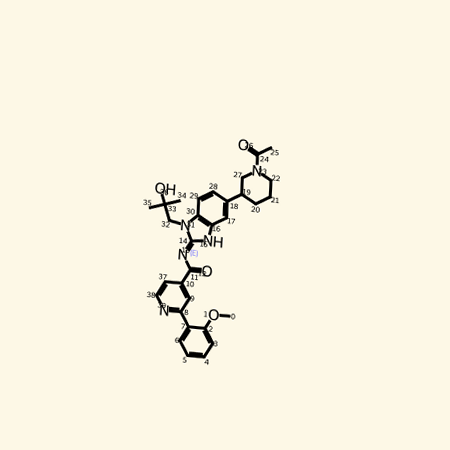 COc1ccccc1-c1cc(C(=O)/N=c2\[nH]c3cc(C4CCCN(C(C)=O)C4)ccc3n2CC(C)(C)O)ccn1